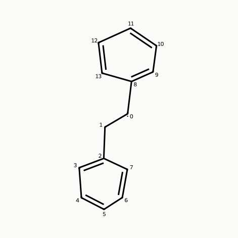 [CH](Cc1ccccc1)c1ccccc1